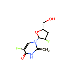 C=C1NC(=O)C(F)=CN1[C@@H]1O[C@H](CO)CC1F